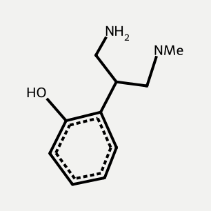 CNCC(CN)c1ccccc1O